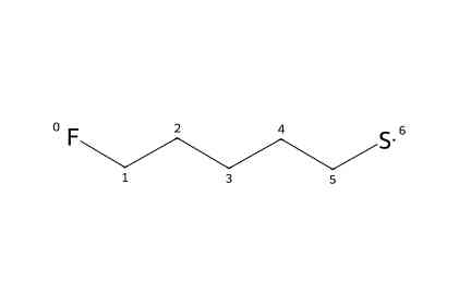 FCCCCC[S]